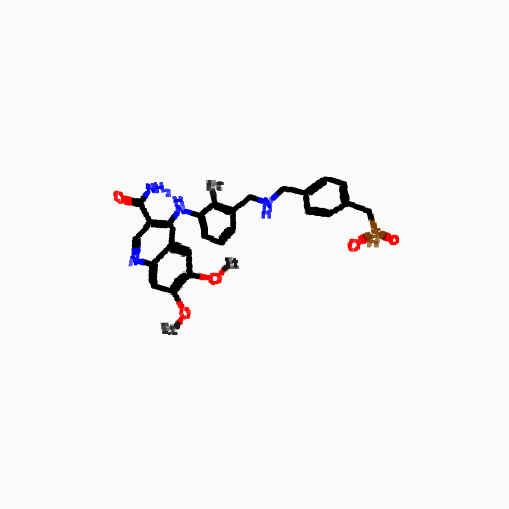 CCOc1cc2ncc(C(N)=O)c(Nc3cccc(CNCc4ccc(C[SH](=O)=O)cc4)c3CC)c2cc1OCC